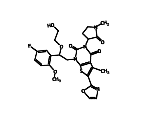 COc1ccc(F)cc1C(Cn1c(=O)n(C2CCN(C)C2=O)c(=O)c2c(C)c(-c3ncco3)sc21)OCCO